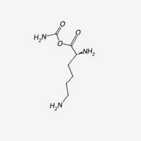 NCCCC[C@H](N)C(=O)OC(N)=O